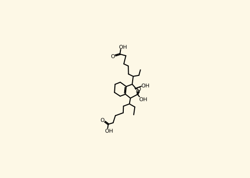 CCC(CCCCC(=O)O)C(C(=O)O)C1=C(C(C(=O)O)C(CC)CCCCC(=O)O)CCCC1